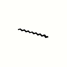 CC=CCCCCCCCCCCCCC